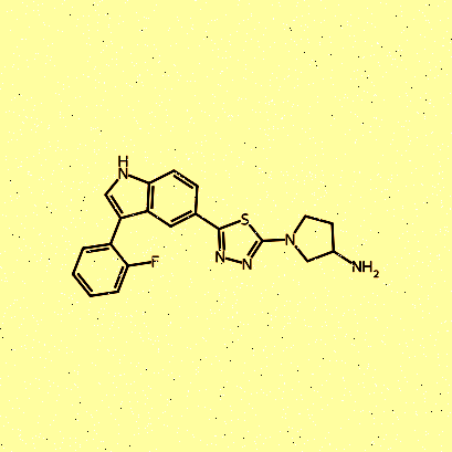 NC1CCN(c2nnc(-c3ccc4[nH]cc(-c5ccccc5F)c4c3)s2)C1